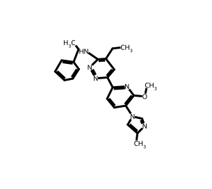 CCc1cc(-c2ccc(-n3cnc(C)c3)c(OC)n2)nnc1NC(C)c1ccccc1